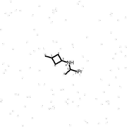 CC1CC(NC(C)C(C)C)C1